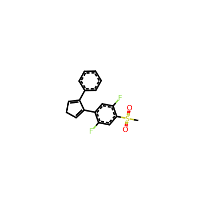 CS(=O)(=O)c1cc(F)c(C2=CCC=C2c2ccccc2)cc1F